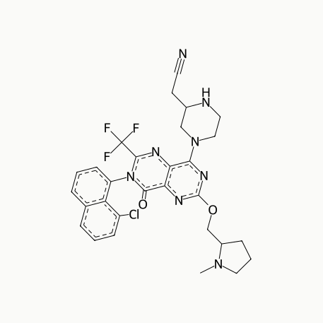 CN1CCCC1COc1nc(N2CCNC(CC#N)C2)c2nc(C(F)(F)F)n(-c3cccc4cccc(Cl)c34)c(=O)c2n1